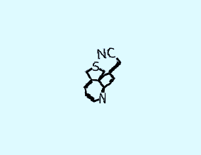 N#C/C=C1/C=CC2=NC=CC=C3CSCC32C1